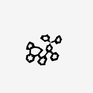 c1ccc(-c2cc(N(c3ccccc3)c3ccccc3)ccc2-c2ccccc2C2CCc3ccccc3-c3ccccc32)cc1